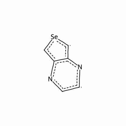 [c]1cnc2c[se][c]c2n1